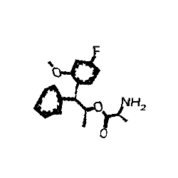 COc1cc(F)ccc1[C@H](c1ccccc1)[C@H](C)OC(=O)[C@H](C)N